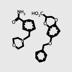 NC(=O)c1cccc(CN2CCOCC2)c1.O=C(O)C1COc2ccc(OCc3ccccc3)cc2O1